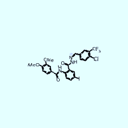 COc1ccc(C(=O)Nc2ccc(I)cc2C(=O)N/N=C\c2ccc(Cl)c(C(F)(F)F)c2)cc1OC